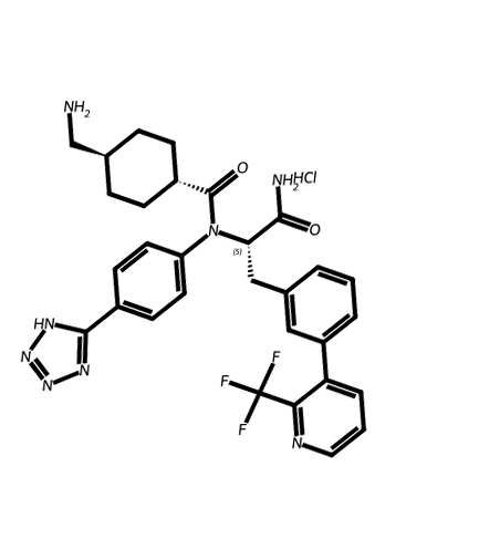 Cl.NC[C@H]1CC[C@H](C(=O)N(c2ccc(-c3nnn[nH]3)cc2)[C@@H](Cc2cccc(-c3cccnc3C(F)(F)F)c2)C(N)=O)CC1